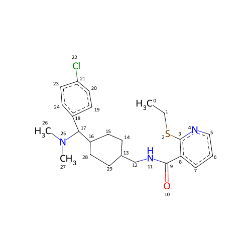 CCSc1ncccc1C(=O)NCC1CCC(C(c2ccc(Cl)cc2)N(C)C)CC1